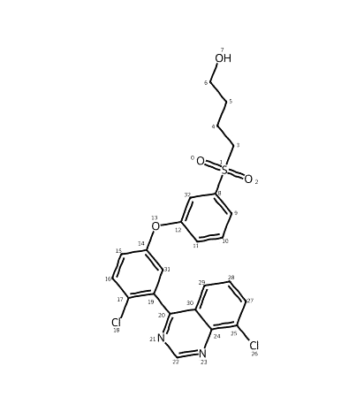 O=S(=O)(CCCCO)c1cccc(Oc2ccc(Cl)c(-c3ncnc4c(Cl)cccc34)c2)c1